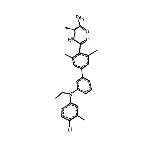 CCN(c1cccc(-c2cc(C)c(C(=O)N[C@@H](C)C(=O)O)c(C)c2)c1)c1ccc(Cl)c(C)c1